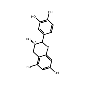 Oc1cc(O)c2c(c1)OC(c1ccc(O)c(O)c1)[C@H](O)C2